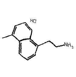 Cc1cccc2c(CCN)cccc12.Cl